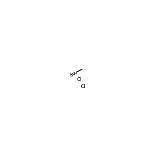 [B+2]C.[Cl-].[Cl-]